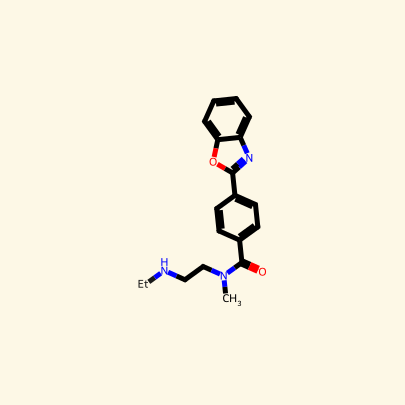 CCNCCN(C)C(=O)c1ccc(-c2nc3ccccc3o2)cc1